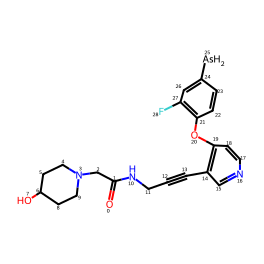 O=C(CN1CCC(O)CC1)NCC#Cc1cnccc1Oc1ccc([AsH2])cc1F